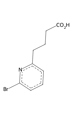 O=C(O)CCCc1cccc(Br)n1